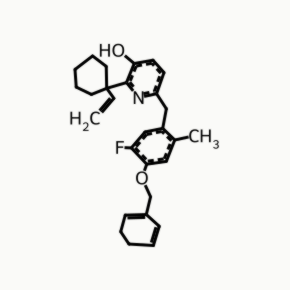 C=CC1(c2nc(Cc3cc(F)c(OCC4=CCCC=C4)cc3C)ccc2O)CCCCC1